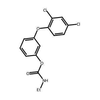 CCNC(=O)Oc1cccc(Oc2ccc(Cl)cc2Cl)c1